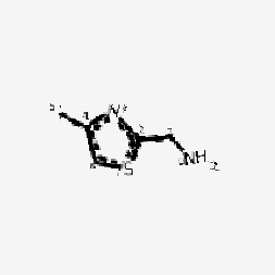 NCc1nc(I)cs1